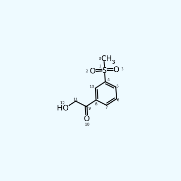 CS(=O)(=O)c1cccc(C(=O)CO)c1